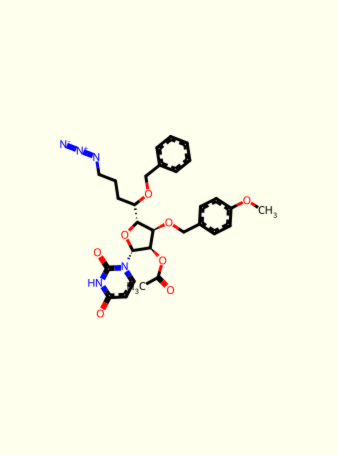 COc1ccc(CO[C@H]2[C@@H](OC(C)=O)[C@H](n3ccc(=O)[nH]c3=O)O[C@@H]2C(CCCN=[N+]=[N-])OCc2ccccc2)cc1